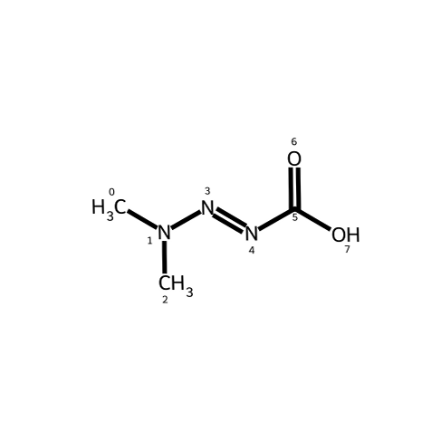 CN(C)N=NC(=O)O